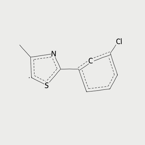 Cc1[c]sc(-c2cccc(Cl)c2)n1